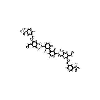 Cc1c(COc2nc(OCc3cncc(S(C)(=O)=O)c3)c(C=O)cc2Br)cccc1-c1cccc(COc2nc(OCc3cncc(S(C)(=O)=O)c3)c(C=O)cc2Br)c1C